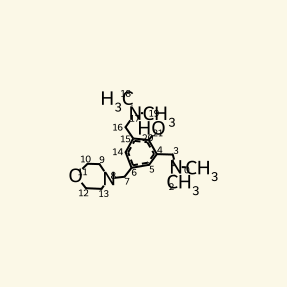 CN(C)Cc1cc(CN2CCOCC2)cc(CN(C)C)c1O